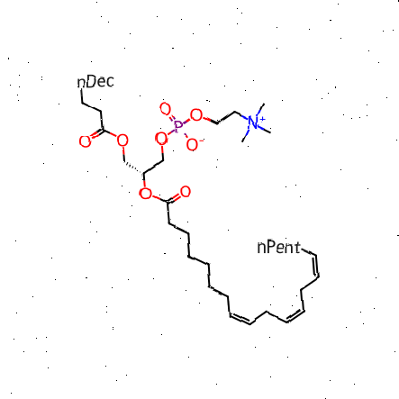 CCCCC/C=C\C/C=C\C/C=C\CCCCCCC(=O)O[C@H](COC(=O)CCCCCCCCCCCC)COP(=O)([O-])OCC[N+](C)(C)C